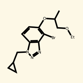 CCOCC(C)Oc1ccc2c(nnn2CC2CC2)c1Br